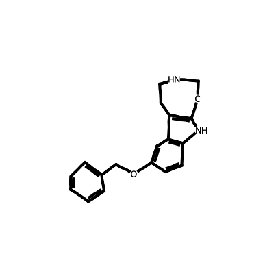 c1ccc(COc2ccc3[nH]c4c(c3c2)CCNCC4)cc1